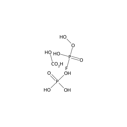 O=C(O)O.O=P(O)(F)OO.O=P(O)(O)O